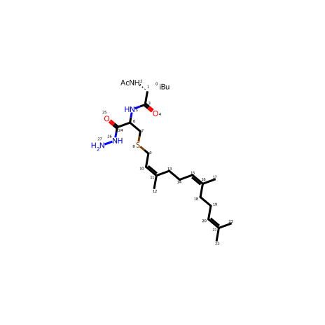 CC[C@H](C)[C@@H](NC(C)=O)C(=O)NC(CSCC=C(C)CCC=C(C)CCC=C(C)C)C(=O)NN